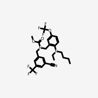 CCCCN(CC)c1ccc(OC(F)(F)F)cc1CN(Cc1cc(C#N)cc(C(F)(F)F)c1)C(=O)OC